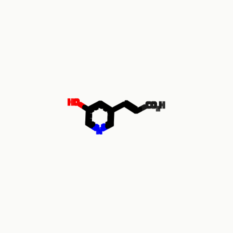 O=C(O)/C=C/c1cncc(O)c1